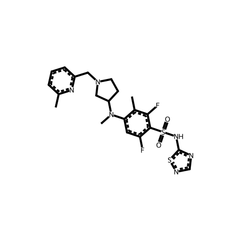 Cc1cccc(CN2CCC(N(C)c3cc(F)c(S(=O)(=O)Nc4ncns4)c(F)c3C)C2)n1